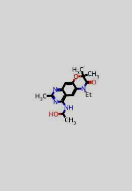 CCN1C(=O)C(C)(C)Oc2cc3nc(C)nc(NC(C)O)c3cc21